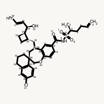 C=CCC[C@H](C)S(=O)(=O)NC(=O)c1ccc2c(c1)N(C[C@@H]1CC[C@H]1[C@H](O)/C=C/CCC)C[C@@]1(CCCc3cc(Cl)ccc31)CO2